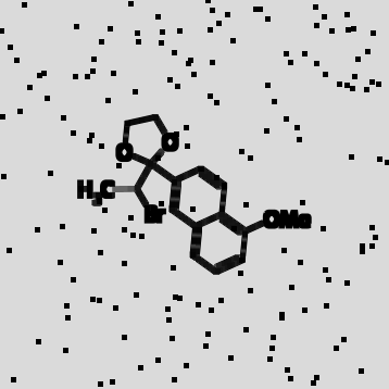 COc1cccc2cc(C3(C(C)Br)OCCO3)ccc12